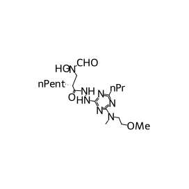 CCCCC[C@H](CN(O)C=O)C(=O)NNc1nc(CCC)nc(N(C)CCOC)n1